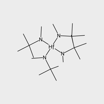 C[N](C(C)(C)C)[Hf]([N](C)C(C)(C)C)([N](C)C(C)(C)C)[N](C)C(C)(C)C